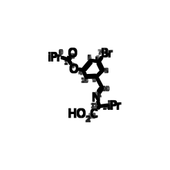 CC(C)C(=O)Oc1cc(Br)cc(C=NC(C(=O)O)C(C)C)c1